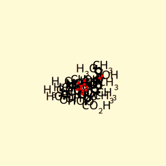 CC1OC(OC2C(OC3C(O)C(C(=O)O)OC(OC4CCC5(C)C(CCC6(C)C5CCC57OCC8(CCC(C)(C)CC85)C(O)CC67C)C4(C)C)C3OC3OC(CO)C(O)C(O)C3O)CC(CO)C(O)C2O)C(OC2OC(C)C(O)C(O)C2O)C(O)C1C